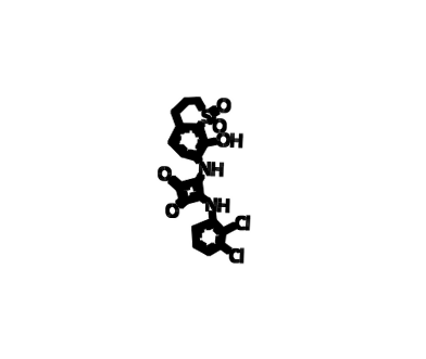 O=c1c(Nc2ccc3c(c2O)S(=O)(=O)CCC3)c(Nc2cccc(Cl)c2Cl)c1=O